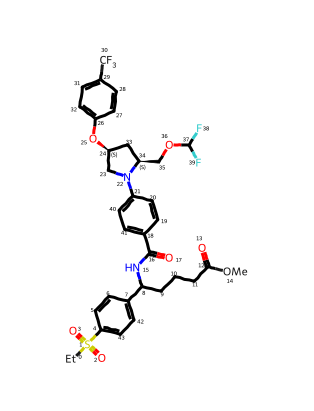 CCS(=O)(=O)c1ccc(C(CCCC(=O)OC)NC(=O)c2ccc(N3C[C@@H](Oc4ccc(C(F)(F)F)cc4)C[C@H]3COC(F)F)cc2)cc1